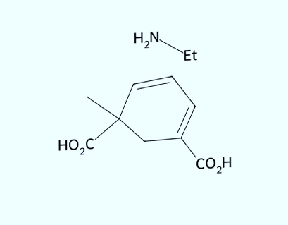 CC1(C(=O)O)C=CC=C(C(=O)O)C1.CCN